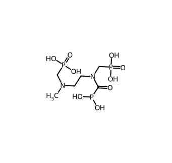 CN(CCN(CP(=O)(O)O)C(=O)P(O)O)CP(=O)(O)O